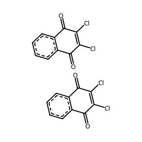 O=C1C(Cl)=C(Cl)C(=O)c2ccccc21.O=C1C(Cl)=C(Cl)C(=O)c2ccccc21